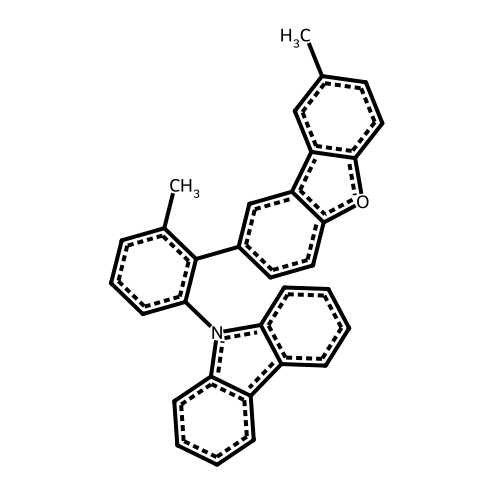 Cc1ccc2oc3ccc(-c4c(C)cccc4-n4c5ccccc5c5ccccc54)cc3c2c1